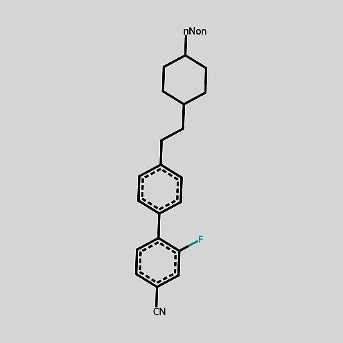 CCCCCCCCCC1CCC(CCc2ccc(-c3ccc(C#N)cc3F)cc2)CC1